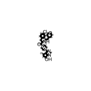 C[C@@H]1C[C@@H](O)c2ncnc(N3CCN(C(=O)C(Cc4ccc(Cl)cc4)NCCC4CCOCC4)CC3)c21